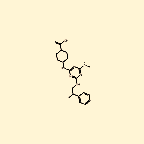 CNc1nc(NCC(C)c2ccccc2)nc(NC2CCC(C(=O)O)CC2)n1